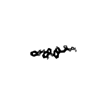 COC(=O)CC1COc2cc(O[C@@H]3CCc4c(Oc5nc6ccccc6o5)ccc(F)c43)ccc21